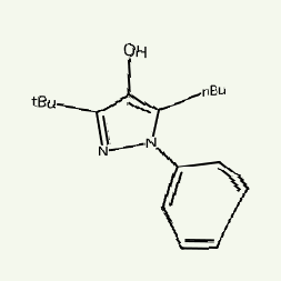 CCCCc1c(O)c(C(C)(C)C)nn1-c1ccccc1